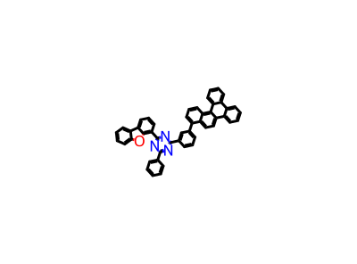 c1ccc(-c2nc(-c3cccc(-c4cccc5c4ccc4c6ccccc6c6ccccc6c54)c3)nc(-c3cccc4c3oc3ccccc34)n2)cc1